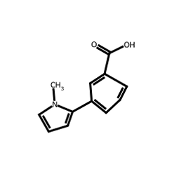 Cn1cccc1-c1cccc(C(=O)O)c1